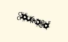 O=S(=O)(c1cccc(F)c1)C1CCN(c2nc(Cc3ccc(Cl)c(Cl)c3)cs2)CC1